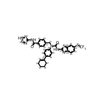 O=C(Nc1nn[nH]n1)c1ccc(CN(C(=O)Nc2nc3ccc(SC(F)(F)F)cc3s2)c2ccc(C3=CCCCC3)cc2)cc1